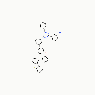 N#Cc1cccc(-c2nc(-c3ccccc3)nc(-c3cccc(-c4ccc5c(c4)oc4cccc(-c6cccc7sc8ccccc8c67)c45)c3)n2)c1